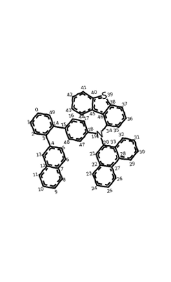 c1ccc(-c2ccc3ccccc3c2)c(-c2ccc(N(c3cc4ccccc4c4ccccc34)c3cccc4sc5ccccc5c34)cc2)c1